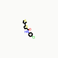 O=C(Nc1ccc(Cl)cc1)c1ccc(-c2ccsc2)s1